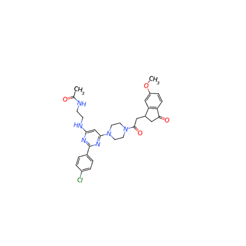 COc1ccc2c(c1)C(CC(=O)N1CCN(c3cc(NCCNC(C)=O)nc(-c4ccc(Cl)cc4)n3)CC1)CC2=O